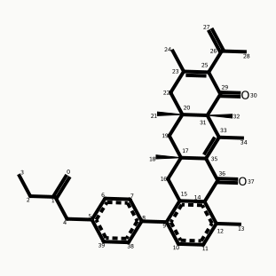 C=C(CC)Cc1ccc(-c2ccc(C)c3c2C[C@]2(C)C[C@]4(C)CC(C)=C(C(=C)C)C(=O)[C@]4(C)C(C)=C2C3=O)cc1